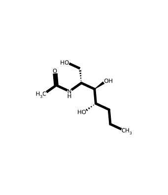 CCC[C@H](O)[C@H](O)[C@@H](CO)NC(C)=O